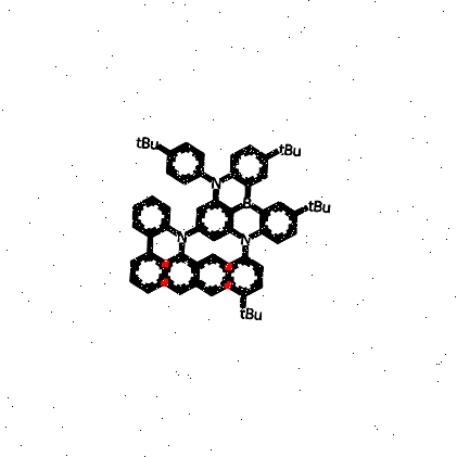 CC(C)(C)c1ccc(N2c3ccc(C(C)(C)C)cc3B3c4cc(C(C)(C)C)ccc4N(c4ccc(C(C)(C)C)cc4)c4cc(N(c5ccccc5-c5ccccc5)c5cccc6ccccc56)cc2c43)cc1